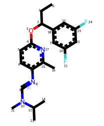 CCC(Oc1ccc(/N=C/N(C)C(C)C)c(C)n1)c1cc(F)cc(F)c1